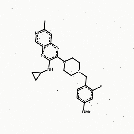 COc1ccc(CN2CCN(c3nc4cc(C)ncc4nc3NC3CC3)CC2)c(F)c1